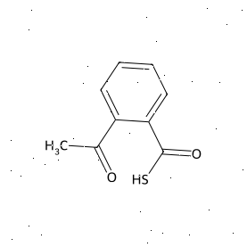 CC(=O)c1ccccc1C(=O)S